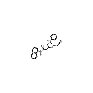 C[Si](C)(CC(CCCC#N)CC(=O)Nc1cccc2cccnc12)c1ccccc1